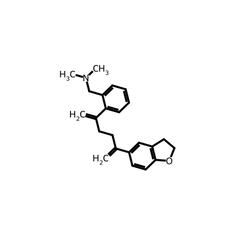 C=C(CCC(=C)c1ccccc1CN(C)C)c1ccc2c(c1)CCO2